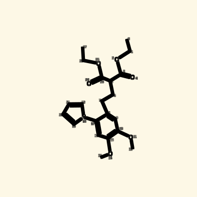 CCOC(=O)C(CCc1cc(OC)c(OC)cc1-n1cccc1)C(=O)OCC